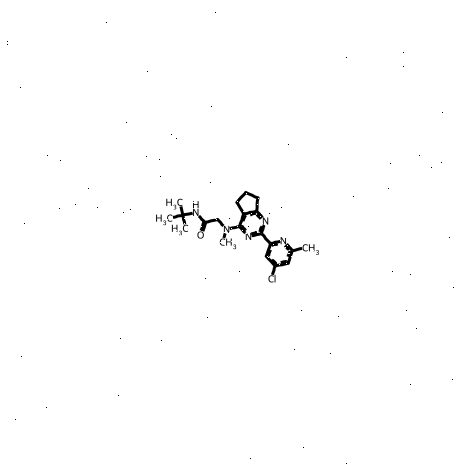 Cc1cc(Cl)cc(-c2nc3c(c(N(C)CC(=O)NC(C)(C)C)n2)CCC3)n1